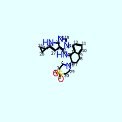 O=S1(=O)CCN([C@H]2CCc3ccccc3[C@@H]2Nc2ncnc3[nH]c(C4CC4)cc23)CC1